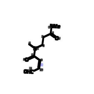 CNC(=O)CCN(C)C(=O)/C=C\C=O